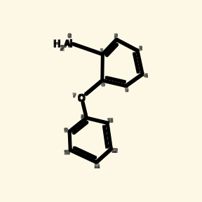 [AlH2][c]1ccccc1Oc1ccccc1